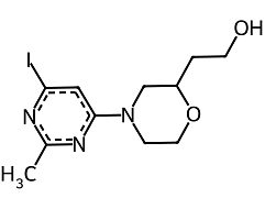 Cc1nc(I)cc(N2CCOC(CCO)C2)n1